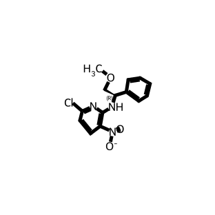 COC[C@H](Nc1nc(Cl)ccc1[N+](=O)[O-])c1ccccc1